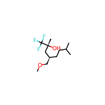 COC[C@H](CCC(C)C)C[C@@](C)(O)C(F)(F)F